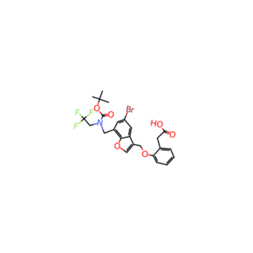 CC(C)(C)OC(=O)N(Cc1cc(Br)cc2c(COc3ccccc3CC(=O)O)coc12)CC(F)(F)F